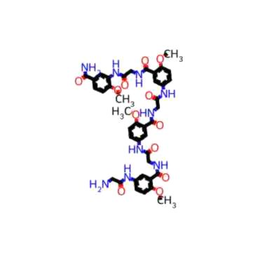 COc1ccc(C(N)=O)cc1NC(=O)CNC(=O)c1cc(NC(=O)CNC(=O)c2cc(NC(=O)CNC(=O)c3cc(NC(=O)CN)ccc3OC)ccc2OC)ccc1OC